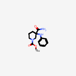 CC(C)(C)OC(=O)N1CCCC(Nc2ccccc2)(C(N)=O)C1